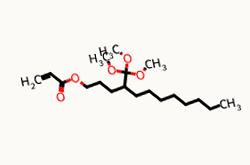 C=CC(=O)OCCCC(CCCCCCCC)C(OC)(OC)OC